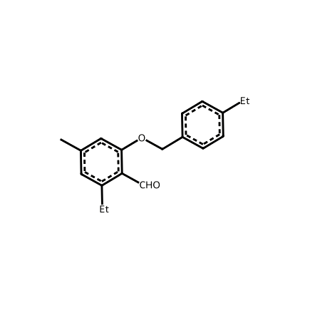 CCc1ccc(COc2cc(C)cc(CC)c2C=O)cc1